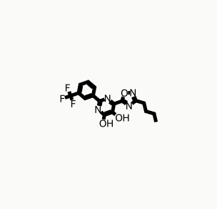 CCCCc1noc(-c2nc(-c3cccc(C(F)(F)F)c3)nc(O)c2O)n1